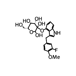 COc1ccc(Cc2c[nH]c3cccc(O[C@]4(O)C(O)O[C@H](CO)[C@@H](O)[C@@H]4O)c23)cc1F